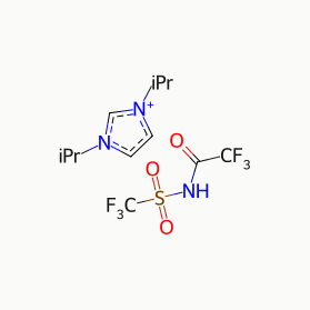 CC(C)n1cc[n+](C(C)C)c1.O=C(NS(=O)(=O)C(F)(F)F)C(F)(F)F